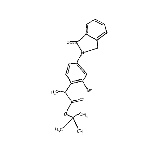 CC(C(=O)OC(C)(C)C)c1ccc(N2Cc3ccccc3C2=O)cc1Br